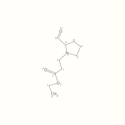 CCOC(=O)CCN1CCCC1C=O